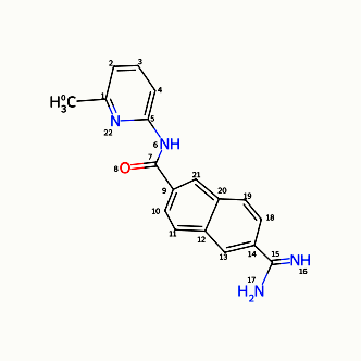 Cc1cccc(NC(=O)c2ccc3cc(C(=N)N)ccc3c2)n1